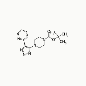 CC(C)(C)OC(=O)N1CCN(c2nnnn2-c2ccccn2)CC1